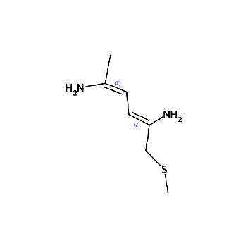 CSC/C(N)=C/C=C(/C)N